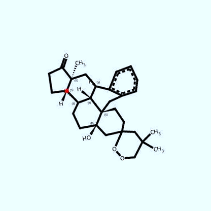 CC1(C)COOC2(CC[C@@]34Cc5ccccc5[C@H]5C[C@]6(C)C(=O)CC[C@H]6[C@H](CC[C@@]3(O)C2)[C@H]54)C1